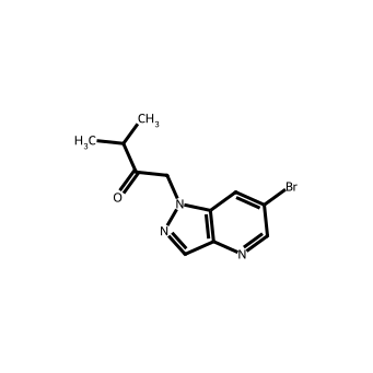 CC(C)C(=O)Cn1ncc2ncc(Br)cc21